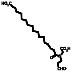 O=[C]CCN(CC(=O)O)C(=O)CCCCCCCCCCCCCCCCC(=O)O